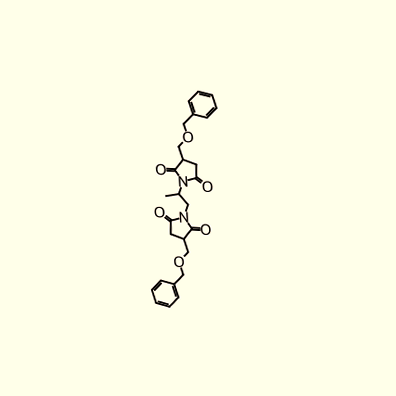 CC(CN1C(=O)CC(COCc2ccccc2)C1=O)N1C(=O)CC(COCc2ccccc2)C1=O